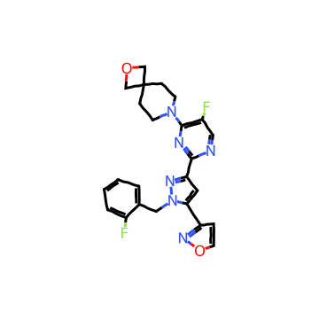 Fc1ccccc1Cn1nc(-c2ncc(F)c(N3CCC4(CC3)COC4)n2)cc1-c1ccon1